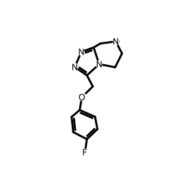 Fc1ccc(OCc2nnc3n2CC[N]C3)cc1